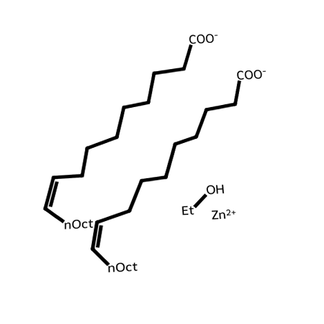 CCCCCCCC/C=C\CCCCCCCC(=O)[O-].CCCCCCCC/C=C\CCCCCCCC(=O)[O-].CCO.[Zn+2]